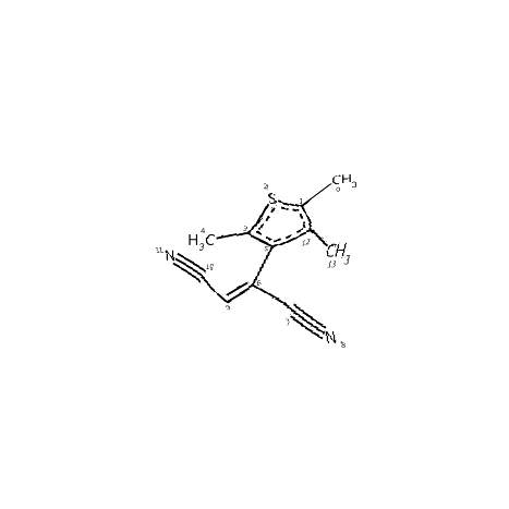 Cc1sc(C)c(/C(C#N)=C\C#N)c1C